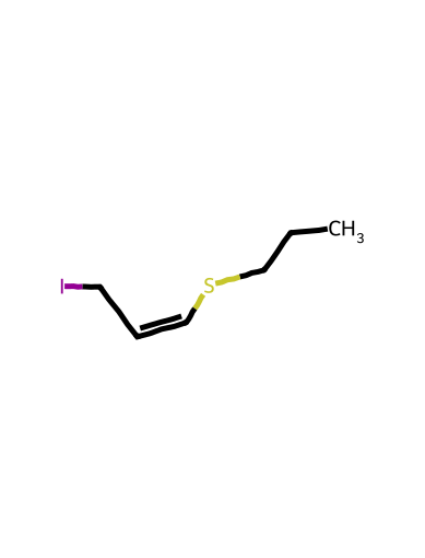 CCCS/C=C\CI